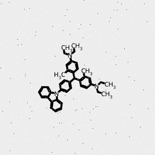 CCN(CC)c1ccc(C(c2ccc(-n3c4ccccc4c4ccccc43)cc2)c2ccc(N(CC)CC)cc2C)c(C)c1